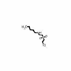 CCCCCNCCS(=O)(=O)CCCl